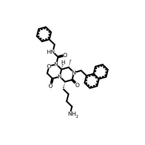 C[C@H]1[C@@H]2N(C(=O)NCc3ccccc3)OCC(=O)N2[C@@H](CCCCN)C(=O)N1Cc1cccc2ccccc12